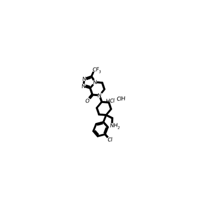 Cl.Cl.NCC1(c2cccc(Cl)c2)CCC(N2CCn3c(nnc3C(F)(F)F)C2=O)CC1